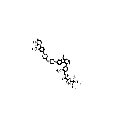 Cc1cc(-c2ncnc3[nH]c4cc(N5CCN(CC6CCN(c7ccc(N8CCC(=O)NC8=O)c(C)c7)CC6)CC5)ccc4c23)ccc1CNC(=O)c1nc(C(C)(C)C)no1